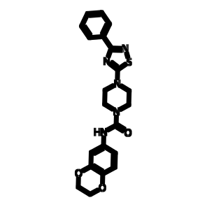 O=C(Nc1ccc2c(c1)OCCO2)N1CCN(c2nc(-c3ccccc3)ns2)CC1